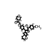 Cc1ccc(C(=O)c2oc3cc4c(cc3c2-c2ccc(OCC(=O)N3CCOCC3)cc2)CC=CO4)cc1